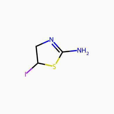 NC1=NCC(I)S1